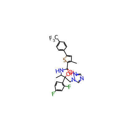 Cc1cc(-c2ccc(C(F)(F)F)cc2)sc1C(=O)NC(C)C(O)(Cn1cncn1)c1ccc(F)cc1F